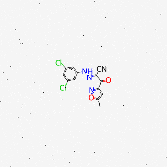 Cc1cc(C(=O)/C(C#N)=N/Nc2cc(Cl)cc(Cl)c2)no1